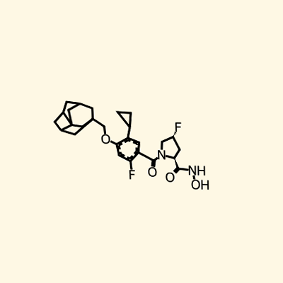 O=C(NO)[C@@H]1C[C@@H](F)CN1C(=O)c1cc(C2CC2)c(OCC23CC4CC5CC(C2)C5(C4)C3)cc1F